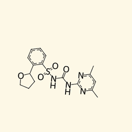 Cc1cc(C)nc(NC(=O)NS(=O)(=O)c2ccccc2C2CCCO2)n1